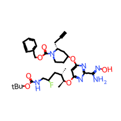 C#CC[C@@H]1C[C@@H](Oc2cc(O[C@@H](C)[C@@H](C)C[C@@H](F)CNC(=O)OC(C)(C)C)nc(C(N)=NO)n2)CCN1C(=O)OCc1ccccc1